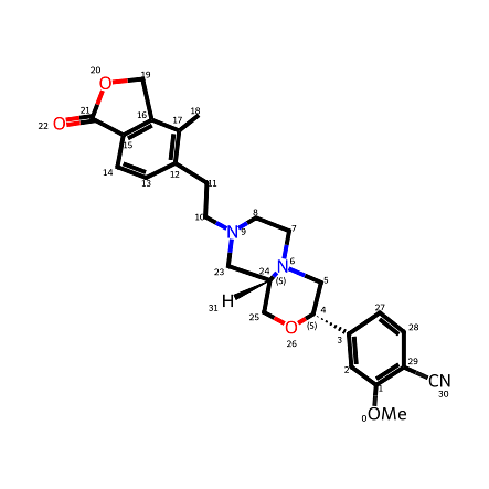 COc1cc([C@H]2CN3CCN(CCc4ccc5c(c4C)COC5=O)C[C@H]3CO2)ccc1C#N